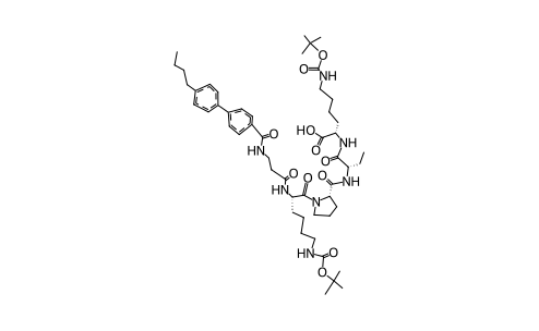 CCCCc1ccc(-c2ccc(C(=O)NCCC(=O)N[C@@H](CCCCNC(=O)OC(C)(C)C)C(=O)N3CCC[C@H]3C(=O)N[C@@H](CC)C(=O)N[C@@H](CCCCNC(=O)OC(C)(C)C)C(=O)O)cc2)cc1